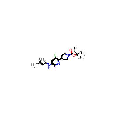 CC(C)=CCNc1cc(F)c(C2CCN(C(=O)OC(C)(C)C)CC2)nc1I